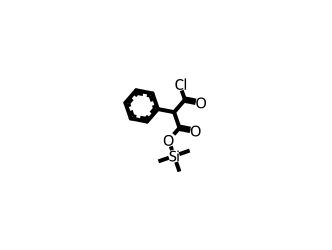 C[Si](C)(C)OC(=O)C(C(=O)Cl)c1ccccc1